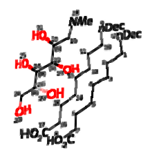 CCCCCCCCCCCCCCCCCC(=O)O.CCCCCCCCCCCCCCCCCC(=O)O.CNC[C@H](O)[C@@H](O)[C@H](O)[C@H](O)CO